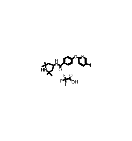 CC1(C)CC(NC(=O)c2ccc(Oc3ccc(I)cn3)cc2)CC(C)(C)N1.O=C(O)C(F)(F)F